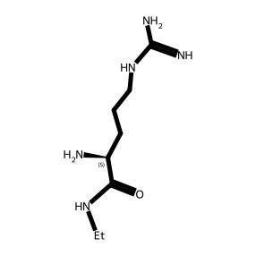 CCNC(=O)[C@@H](N)CCCNC(=N)N